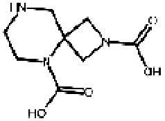 O=C(O)N1CC2(CNCCN2C(=O)O)C1